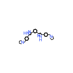 c1cc(-c2cc(-c3ccc(CN4CCCC4)cc3)[nH]n2)cc(-c2cc(-c3ccc(CN4CCCC4)cc3)[nH]n2)c1